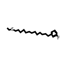 CCSCCCCCCCCCCCCCc1cccc(F)c1